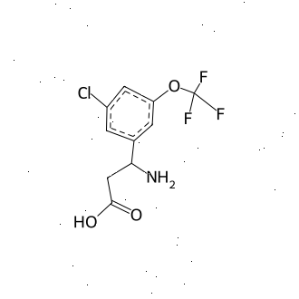 NC(CC(=O)O)c1cc(Cl)cc(OC(F)(F)F)c1